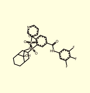 O=C(Nc1cc(F)c(F)c(F)c1)c1ccc(Cl)c(S(=O)(=O)C2CC3CCCC(C2)C3(O)CNS(=O)(=O)c2cccnc2)c1